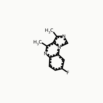 Cc1ncn2c1c(C)nc1ccc(F)cc12